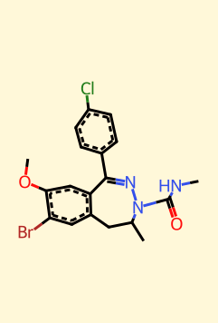 CNC(=O)N1N=C(c2ccc(Cl)cc2)c2cc(OC)c(Br)cc2CC1C